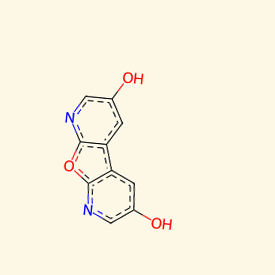 Oc1cnc2oc3ncc(O)cc3c2c1